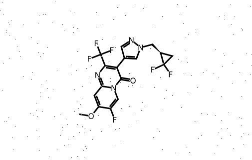 COc1cc2nc(C(F)(F)F)c(-c3cnn(C[C@H]4CC4(F)F)c3)c(=O)n2cc1F